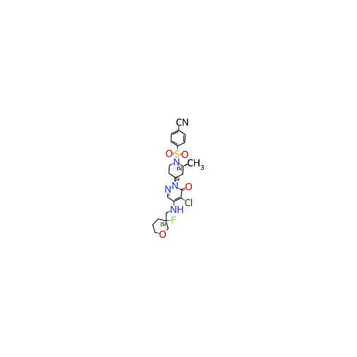 C[C@H]1C[C@@H](n2ncc(NC[C@@]3(F)CCCOC3)c(Cl)c2=O)CCN1S(=O)(=O)c1ccc(C#N)cc1